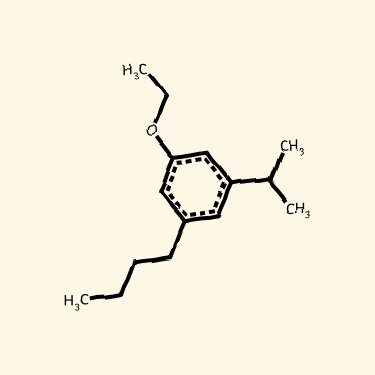 CCCCc1cc(OCC)cc([C](C)C)c1